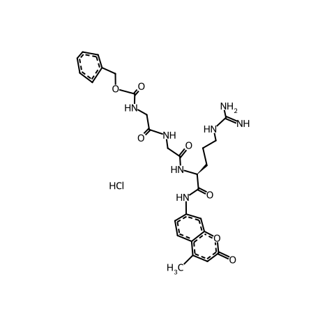 Cc1cc(=O)oc2cc(NC(=O)[C@H](CCCNC(=N)N)NC(=O)CNC(=O)CNC(=O)OCc3ccccc3)ccc12.Cl